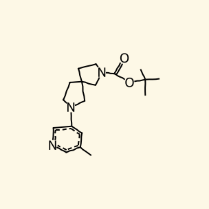 Cc1cncc(N2CCC3(CCN(C(=O)OC(C)(C)C)C3)C2)c1